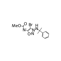 COC(=O)[N-]c1on[n+](NC(C)(C)c2ccccc2)c1Br